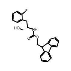 O=C(N[C@H](CO)Cc1ccccc1F)OCC1c2ccccc2-c2ccccc21